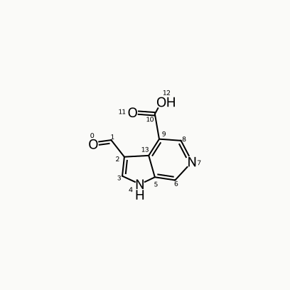 O=Cc1c[nH]c2cncc(C(=O)O)c12